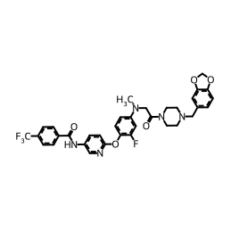 CN(CC(=O)N1CCN(Cc2ccc3c(c2)OCO3)CC1)c1ccc(Oc2ccc(NC(=O)c3ccc(C(F)(F)F)cc3)cn2)c(F)c1